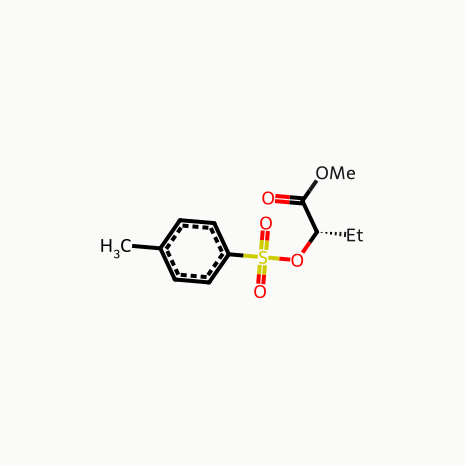 CC[C@H](OS(=O)(=O)c1ccc(C)cc1)C(=O)OC